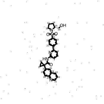 O=C(Nc1cccc(-c2ccc(S(=O)(=O)N3CCC[C@@H]3CO)cc2)n1)C1(c2ccc3ncccc3c2)CC1